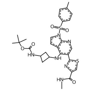 CNC(=O)c1csc(-c2cnc3c(ccn3S(=O)(=O)c3ccc(C)cc3)c2NC2CC(NC(=O)OC(C)(C)C)C2)n1